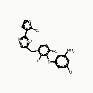 Nc1cc(Cl)cc(Oc2c(Cl)ccc(Cc3nnc(-c4ccsc4Cl)o3)c2F)c1